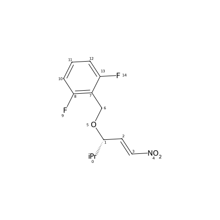 CC(C)[C@@H](C=C[N+](=O)[O-])OCc1c(F)cccc1F